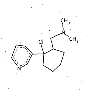 CN(C)CC1CCCCC1(Cl)c1cccnc1